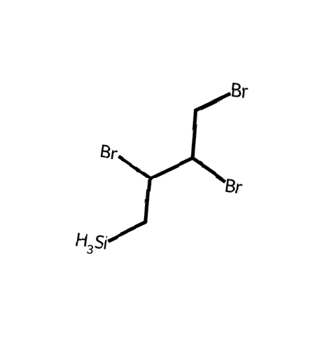 [SiH3]CC(Br)C(Br)CBr